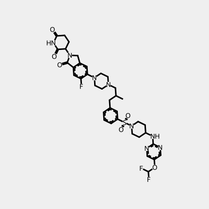 CC(Cc1cccc(S(=O)(=O)N2CCC(Nc3ncc(OC(F)F)cn3)CC2)c1)CN1CCN(c2cc3c(cc2F)C(=O)N(C2CCC(=O)NC2=O)C3)CC1